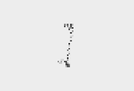 CCCCCCCCCCCCC(Br)Br